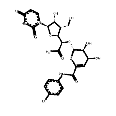 CCc1ccc(NC(=O)C2=C[C@H](O)[C@H](O)[C@@H](O[C@@H](C(N)=O)[C@H]3O[C@@H](n4ccc(=O)[nH]c4=O)[C@H](O)[C@@H]3CO)O2)cc1